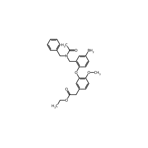 Bc1ccc(Oc2cc(CC(=O)OCC)ccc2OC)c(CN(Cc2ccccc2)C(C)=O)c1